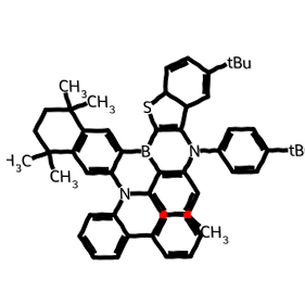 Cc1cc2c3c(c1)N(c1ccccc1-c1ccccc1)c1cc4c(cc1B3C1=C(C3C=C(C(C)(C)C)C=CC3S1)N2c1ccc(C(C)(C)C)cc1)C(C)(C)CCC4(C)C